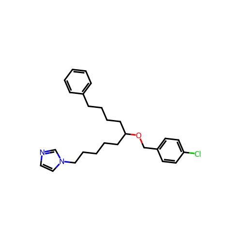 Clc1ccc(COC(CCCCCn2ccnc2)CCCCc2ccccc2)cc1